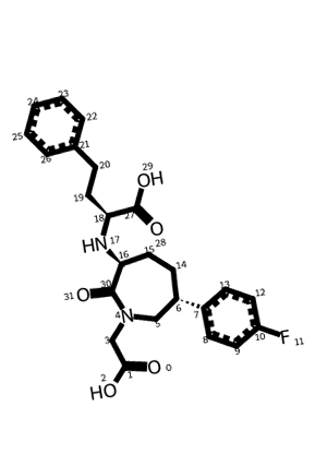 O=C(O)CN1C[C@@H](c2ccc(F)cc2)CC[C@H](N[C@@H](CCc2ccccc2)C(=O)O)C1=O